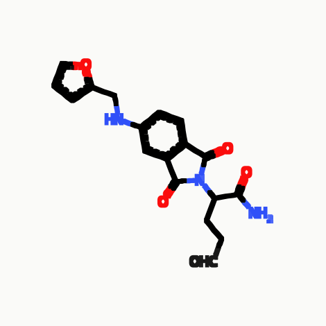 NC(=O)C(CCC=O)N1C(=O)c2ccc(NCc3ccco3)cc2C1=O